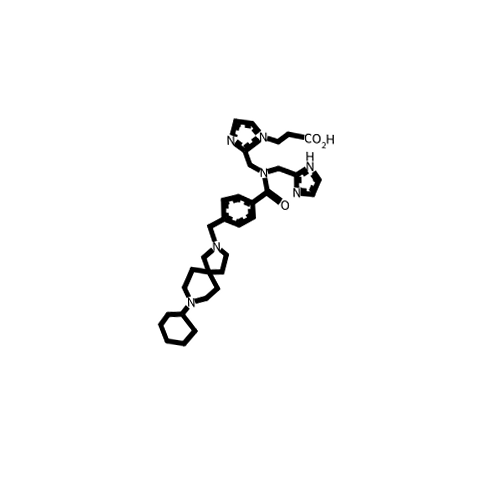 O=C(O)CCn1ccnc1CN(Cc1ncc[nH]1)C(=O)c1ccc(CN2CCC3(CCN(C4CCCCC4)CC3)C2)cc1